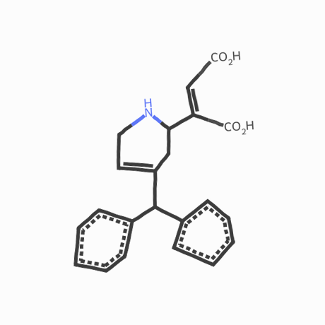 O=C(O)C=C(C(=O)O)C1CC(C(c2ccccc2)c2ccccc2)=CCN1